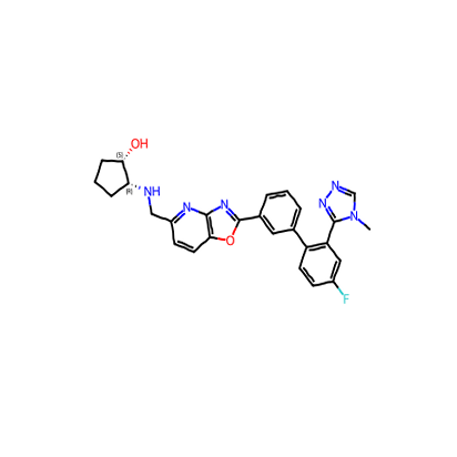 Cn1cnnc1-c1cc(F)ccc1-c1cccc(-c2nc3nc(CN[C@@H]4CCC[C@@H]4O)ccc3o2)c1